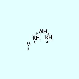 [AlH3].[KH].[KH].[V]